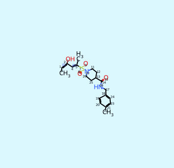 C/C=C(O)\C=C(/C)S(=O)(=O)N1CCC(C(=O)NCc2ccc(C)cc2)CC1